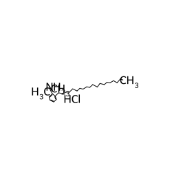 CCCCCCCCCCCCCCCCCCCCc1ccccc1C(C)(C)N.Cl